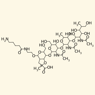 CC(=O)NC(C(O)OC1C(O)C(C)OC(OC2C(O)C(CO)OC(OC3C(CO)OC(OCCNC(=O)CCCCN)C4C[C@@](C)(C(=O)O)OC43)C2NC(C)=O)C1NC(C)=O)C(O)C(O)C(C)CO